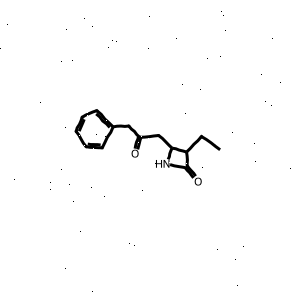 CCC1C(=O)NC1CC(=O)Cc1ccccc1